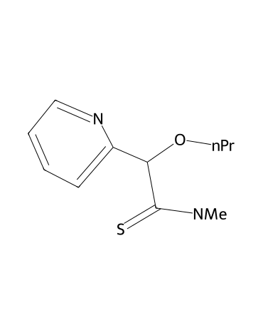 CCCOC(C(=S)NC)c1ccccn1